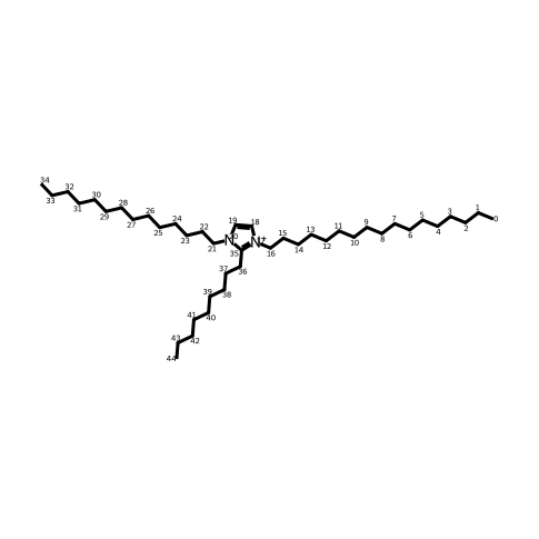 CCCCCCCCCCCCCCCCC[n+]1ccn(CCCCCCCCCCCCCC)c1CCCCCCCCC